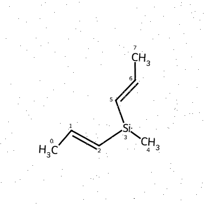 CC=C[Si](C)C=CC